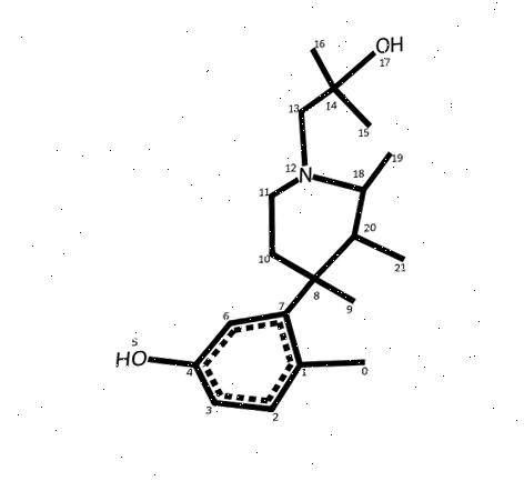 Cc1ccc(O)cc1C1(C)CCN(CC(C)(C)O)C(C)C1C